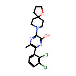 Cc1nc(N2CCC3(CCCO3)CC2)c(O)nc1-c1cccc(Cl)c1Cl